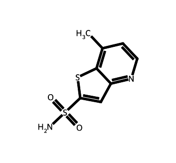 Cc1ccnc2cc(S(N)(=O)=O)sc12